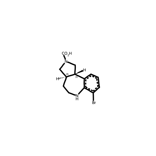 O=C(O)N1C[C@@H]2CCNc3c(Br)cccc3[C@H]2C1